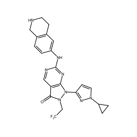 O=c1c2cnc(Nc3ccc4c(c3)CCNC4)nc2n(-c2ccn(C3CC3)n2)n1CC(F)(F)F